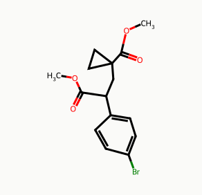 COC(=O)C(CC1(C(=O)OC)CC1)c1ccc(Br)cc1